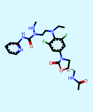 CCN(CCN(NC)C(=O)Nc1ccccn1)c1c(F)cc(N2C[C@H](CNC(C)=O)OC2=O)cc1F